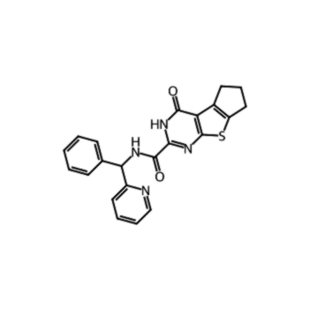 O=C(NC(c1ccccc1)c1ccccn1)c1nc2sc3c(c2c(=O)[nH]1)CCC3